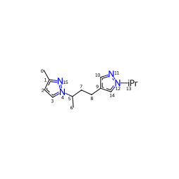 Cc1ccn(C(C)CCc2cnn(C(C)C)c2)n1